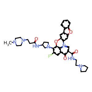 CN1CCN(CCC(=O)NC2CCN(c3c(F)cc4c(=O)c(C(=O)NCCN5CCCC5)cn5c4c3Oc3cc4c(cc3-5)oc3ccccc34)C2)CC1